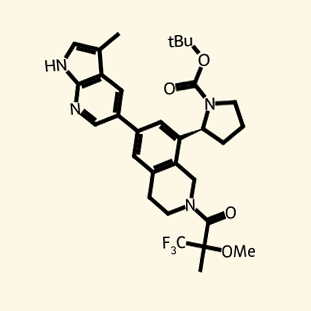 COC(C)(C(=O)N1CCc2cc(-c3cnc4[nH]cc(C)c4c3)cc([C@@H]3CCCN3C(=O)OC(C)(C)C)c2C1)C(F)(F)F